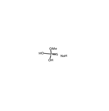 COP(O)(O)=S.[NaH]